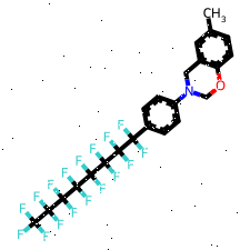 Cc1ccc2c(c1)CN(c1ccc(C(F)(F)C(F)(F)C(F)(F)C(F)(F)C(F)(F)C(F)(F)C(F)(F)C(F)(F)F)cc1)CO2